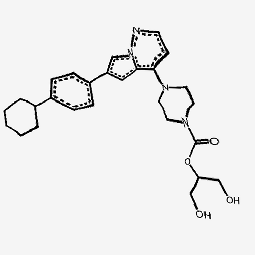 O=C(OC(CO)CO)N1CCN(c2ccnn3cc(-c4ccc(C5CCCCC5)cc4)cc23)CC1